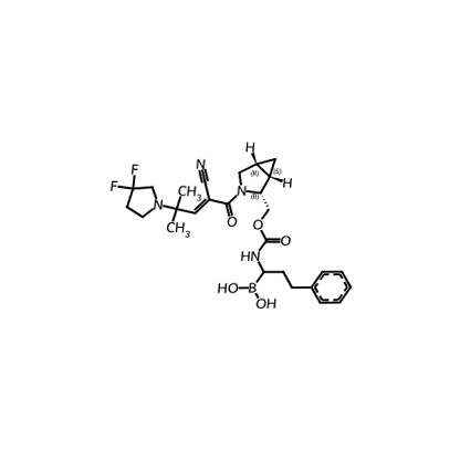 CC(C)(C=C(C#N)C(=O)N1C[C@@H]2C[C@@H]2[C@@H]1COC(=O)NC(CCc1ccccc1)B(O)O)N1CCC(F)(F)C1